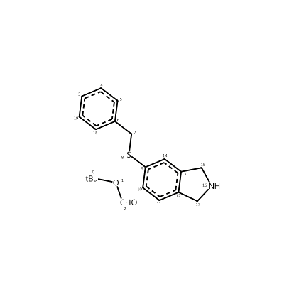 CC(C)(C)OC=O.c1ccc(CSc2ccc3c(c2)CNC3)cc1